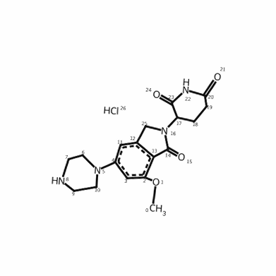 COc1cc(N2CCNCC2)cc2c1C(=O)N(C1CCC(=O)NC1=O)C2.Cl